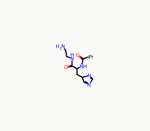 CC(C)C(=O)NC(CC1C=NC=N1)C(=O)NCCN